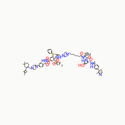 Cc1ncsc1-c1ccc([C@H](C)NC(=O)[C@@H]2C[C@@H](O)CN2C(=O)[C@@H](NC(=O)CCCCCCN2CCN(CC[C@H](CSc3ccccc3)Nc3ccc(S(=O)(=O)NC(=O)c4ccc(N5CCN(CC6=C(C78CC(C)(C7)C8)CC(C)(C)CC6)CC5)cc4)cc3S(=O)(=O)C(F)(F)F)CC2)C(C)(C)C)cc1